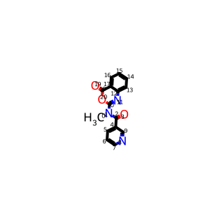 CN(C(=O)c1cccnc1)c1nc2ccccc2c(=O)o1